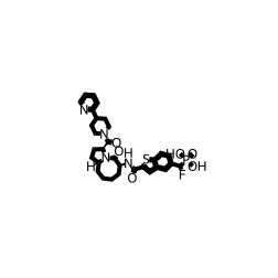 O=C(N[C@H]1CCCC[C@H]2CC[C@@H](C(=O)N3CCC(c4ccccn4)CC3)N2C1=O)c1cc2cc(C(F)P(=O)(O)O)ccc2s1